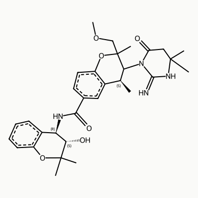 COCC1(C)Oc2ccc(C(=O)N[C@@H]3c4ccccc4OC(C)(C)[C@H]3O)cc2[C@H](C)C1N1C(=N)NC(C)(C)CC1=O